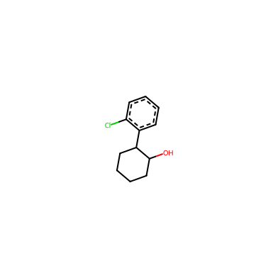 OC1CCCCC1c1ccccc1Cl